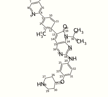 Cc1cc(-c2ccccn2)ccc1-c1cc2cnc(Nc3ccc(OC4CCNCC4)cc3)nc2n(C(C)C)c1=O